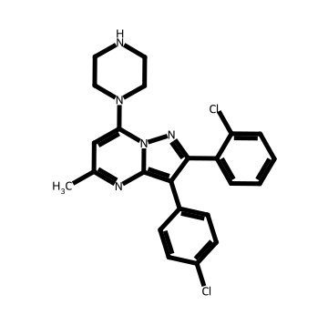 Cc1cc(N2CCNCC2)n2nc(-c3ccccc3Cl)c(-c3ccc(Cl)cc3)c2n1